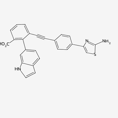 Nc1nc(-c2ccc(C#Cc3cccc(C(=O)O)c3-c3ccc4cc[nH]c4c3)cc2)cs1